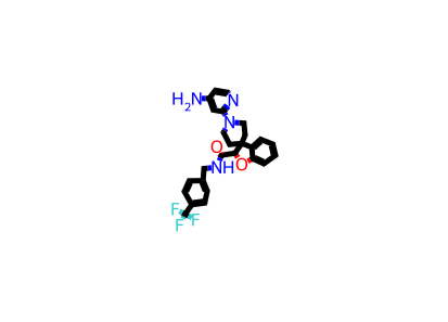 Nc1ccnc(N2CCC3(CC2)c2ccccc2OC3C(=O)NCc2ccc(C(F)(F)F)cc2)c1